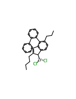 CCCCC1=Cc2c(ccc(CCC)c2-c2ccccc2-c2ccccc2)[CH]1[Zr]([Cl])[Cl]